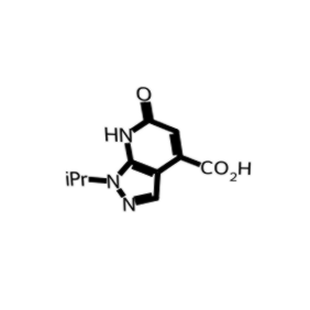 CC(C)n1ncc2c(C(=O)O)cc(=O)[nH]c21